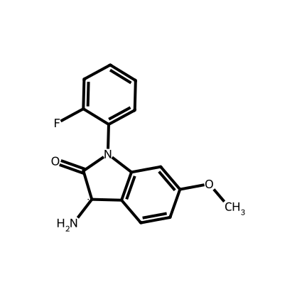 COc1ccc2c(c1)N(c1ccccc1F)C(=O)[C]2N